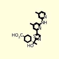 Cc1ccnc(Nc2cc(C)cc(-c3cnc(C(C)(O)[C@H]4CC[C@H](C(=O)O)CC4)s3)n2)c1